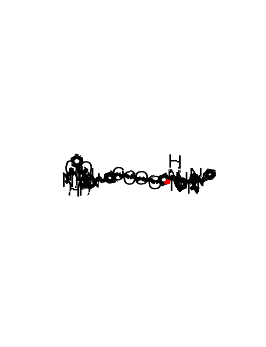 CN[C@@H](C)C(=O)N[C@H](C(=O)N1CC[C@@H]2CCN(CCc3ccc(OCCOCCOCCOC4CCC(Nc5nccc(-c6cnn(Cc7ccccc7)c6N(C)C)n5)CC4)cc3)C[C@@H]21)C1CCCCC1